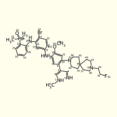 CN/C=C(\C=N)c1cc(Nc2ncc(Br)c(Nc3ccccc3P(C)(C)=O)n2)c(OC)cc1N1CCC2(CCN(CCF)CC2)CC1